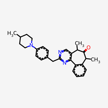 CC1CCN(c2ccc(Cc3ncc4c(n3)-c3ccccc3C(C)C(=O)C4C)cc2)CC1